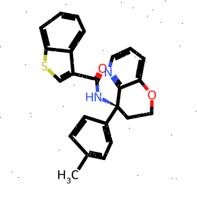 Cc1ccc([C@@]2(NC(=O)c3csc4ccccc34)CCOc3cccnc32)cc1